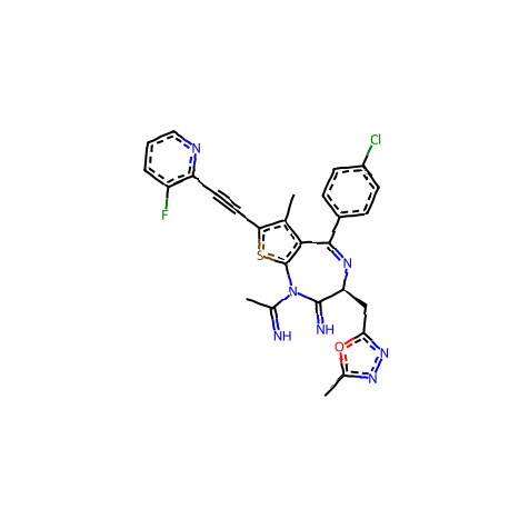 CC(=N)N1C(=N)[C@H](Cc2nnc(C)o2)N=C(c2ccc(Cl)cc2)c2c1sc(C#Cc1ncccc1F)c2C